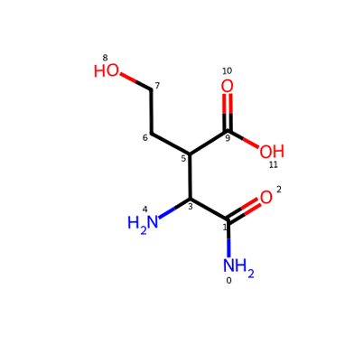 NC(=O)C(N)C(CCO)C(=O)O